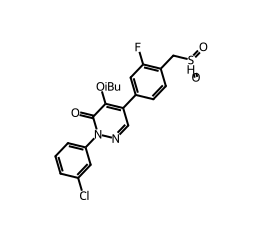 CC(C)COc1c(-c2ccc(C[SH](=O)=O)c(F)c2)cnn(-c2cccc(Cl)c2)c1=O